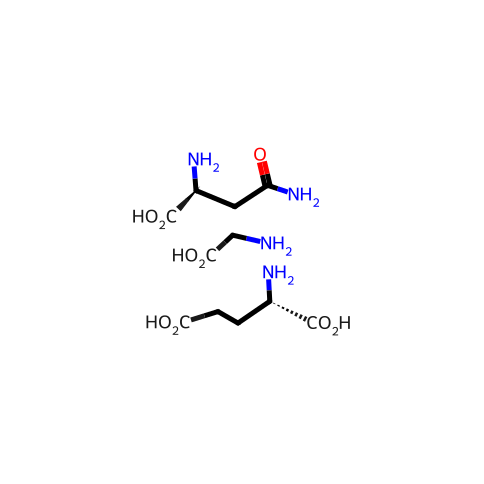 NC(=O)C[C@H](N)C(=O)O.NCC(=O)O.N[C@@H](CCC(=O)O)C(=O)O